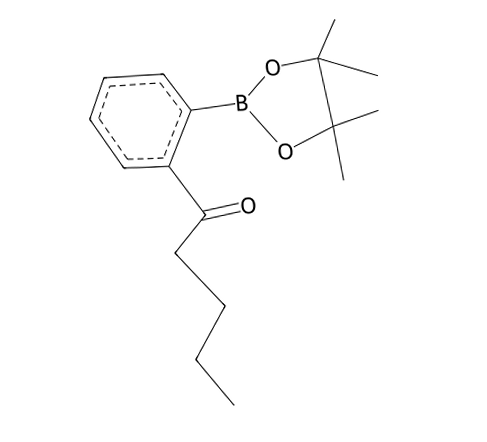 CCCCC(=O)c1ccccc1B1OC(C)(C)C(C)(C)O1